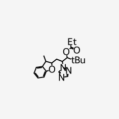 CCC(=O)OC(C(CC1Oc2ccccc2C1C)n1cncn1)C(C)(C)C